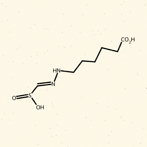 O=C(O)CCCCCNN=CS(=O)O